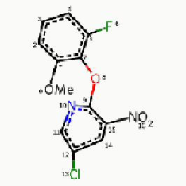 COc1cccc(F)c1Oc1ncc(Cl)cc1[N+](=O)[O-]